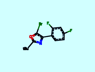 CC(C)(C)c1nc(-c2ccc(F)cc2F)c(Br)o1